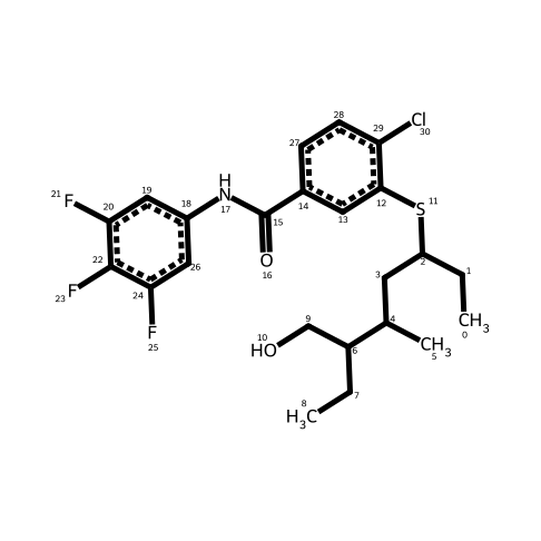 CCC(CC(C)C(CC)CO)Sc1cc(C(=O)Nc2cc(F)c(F)c(F)c2)ccc1Cl